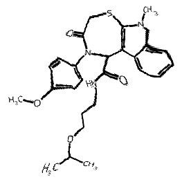 COc1ccc(N2C(=O)CSc3c(c4ccccc4n3C)C2C(=O)NCCCOC(C)C)cc1